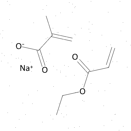 C=C(C)C(=O)[O-].C=CC(=O)OCC.[Na+]